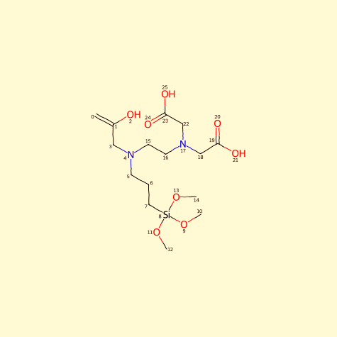 C=C(O)CN(CCC[Si](OC)(OC)OC)CCN(CC(=O)O)CC(=O)O